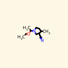 CCOC(C)N1CCC(C)C(C#N)C1